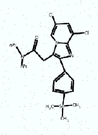 CCCN(CCC)C(=O)Cc1c(-c2cc[c]([Sn]([CH3])([CH3])[CH3])cc2)nc2c(Cl)cc(Cl)cn12